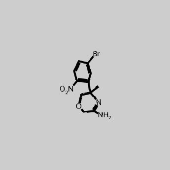 CC1(c2cc(Br)ccc2[N+](=O)[O-])COCC(N)=N1